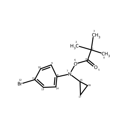 CC(C)(C)C(=O)ON(c1ccc(Br)cc1)C1CC1